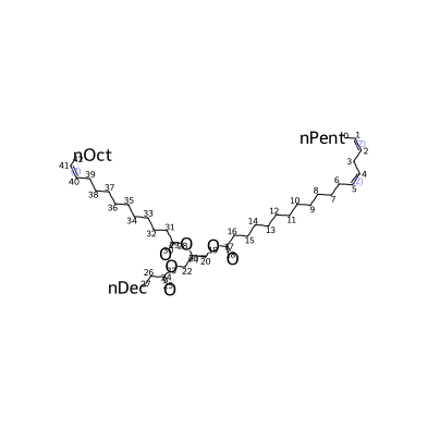 CCCCC/C=C\C/C=C\CCCCCCCCCCCC(=O)OC[C@@H](COC(=O)CCCCCCCCCCC)OC(=O)CCCCCCCCC/C=C\CCCCCCCC